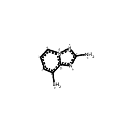 Bc1cccn2nc(N)nc12